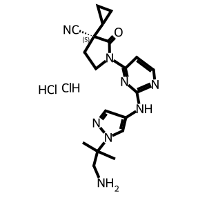 CC(C)(CN)n1cc(Nc2nccc(N3CC[C@@](C#N)(C4CC4)C3=O)n2)cn1.Cl.Cl